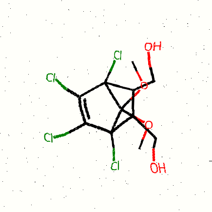 COC1(OC)C2(Cl)C(Cl)=C(Cl)C1(Cl)C(CO)C2CO